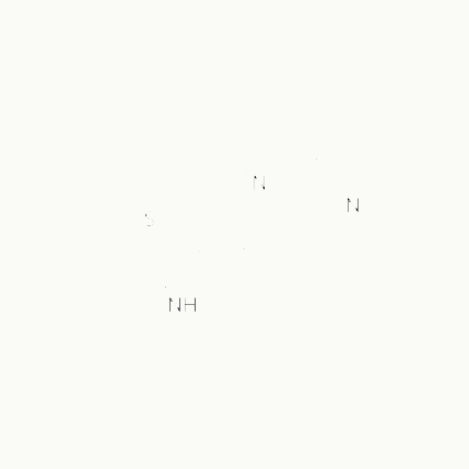 c1cc([C]2NCCS2)ncn1